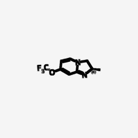 C[C@@H]1CN2C=CC(OC(F)(F)F)=CC2=N1